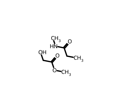 CCC(=O)NC.COC(=O)CO